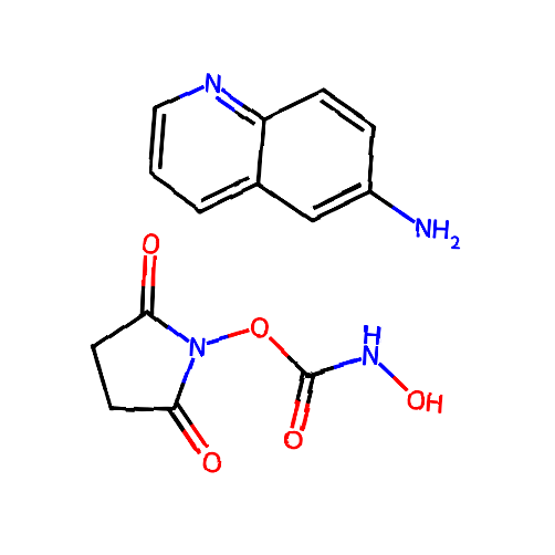 Nc1ccc2ncccc2c1.O=C(NO)ON1C(=O)CCC1=O